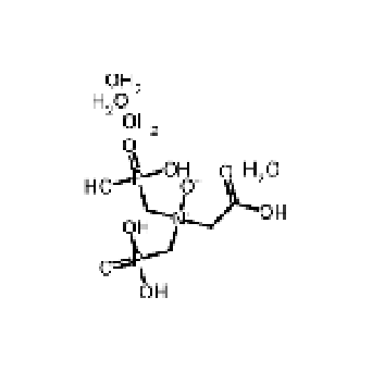 O.O.O.O.O=C(O)C[N+]([O-])(CP(=O)(O)O)CP(=O)(O)O